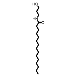 CCCCCCCCCCCCCCC(=O)NCCCO